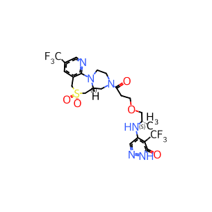 C[C@@H](COCCC(=O)N1CCN2c3ncc(C(F)(F)F)cc3CS(=O)(=O)C[C@H]2C1)Nc1cn[nH]c(=O)c1C(F)(F)F